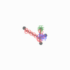 O=C(CCOCCOCCOCCOCCNC(=O)[C@H](NC(=O)OCc1ccccc1)[C@@H](NC(=O)OCc1ccccc1)C(=O)NCCCC(=O)Oc1c(F)c(F)c(F)c(F)c1F)OCc1ccccc1